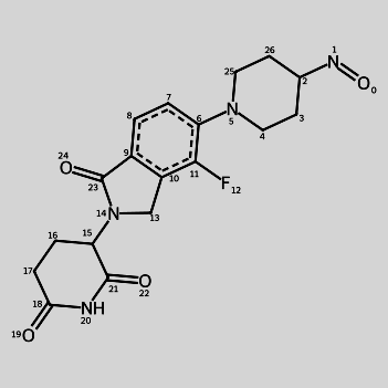 O=NC1CCN(c2ccc3c(c2F)CN(C2CCC(=O)NC2=O)C3=O)CC1